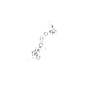 CC(c1ccc(-c2[nH]c3cc(F)cc4c3c2CCNC4=O)cc1)N1CCN(c2ccc(Nc3ncc4c(=O)n(CCO)n(-c5ccccn5)c4n3)cc2)CC1